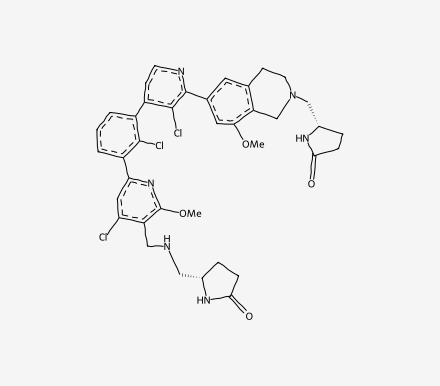 COc1cc(-c2nccc(-c3cccc(-c4cc(Cl)c(CNC[C@@H]5CCC(=O)N5)c(OC)n4)c3Cl)c2Cl)cc2c1CN(C[C@@H]1CCC(=O)N1)CC2